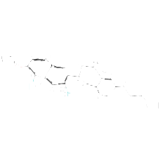 CCCCC1CCC2CC(c3cc4ccc(OC)c(F)c4cc3F)CCC2C1